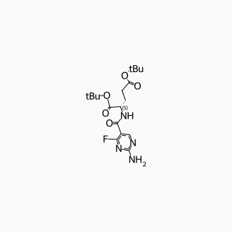 CC(C)(C)OC(=O)CC[C@H](NC(=O)c1cnc(N)nc1F)C(=O)OC(C)(C)C